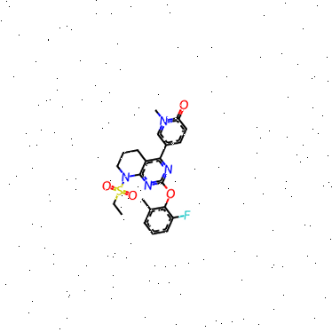 CCS(=O)(=O)N1CCCc2c(-c3ccc(=O)n(C)c3)nc(Oc3c(C)cccc3F)nc21